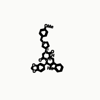 COc1ccc(CN2CC[C@@H](N3CC(=O)N4[C@H](c5ccc6c(c5)OCO6)c5[nH]c6ccccc6c5C[C@@H]4C3=O)C2)cc1